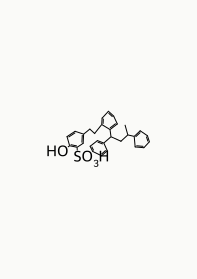 CC(CC(c1ccccc1)c1ccccc1CCc1ccc(O)c(S(=O)(=O)O)c1)c1ccccc1